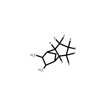 CC1C(C)C2CC1C1(F)C(F)(F)C(F)(F)C(F)(F)C21F